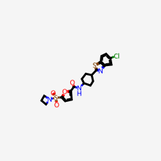 O=C(NC1CCC(c2nc3cc(Cl)ccc3s2)CC1)c1ccc(S(=O)(=O)N2CCC2)o1